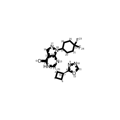 O=c1[nH]c([C@H]2CC[C@@H]2c2nnco2)nc2c1cnn2C1CCC(F)(F)CC1